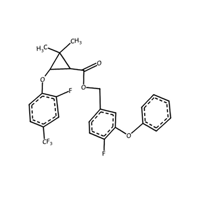 CC1(C)C(Oc2ccc(C(F)(F)F)cc2F)C1C(=O)OCc1ccc(F)c(Oc2ccccc2)c1